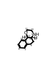 c1ccc2c(c1)CC[C@H]1NCCO[C@H]21